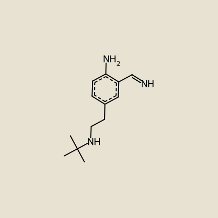 CC(C)(C)NCCc1ccc(N)c(C=N)c1